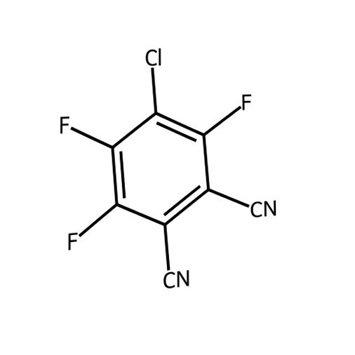 N#Cc1c(F)c(F)c(Cl)c(F)c1C#N